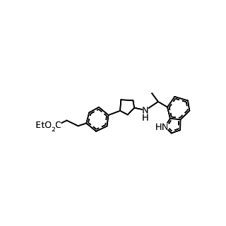 CCOC(=O)CCc1ccc(C2CCC(NC(C)c3cccc4cc[nH]c34)C2)cc1